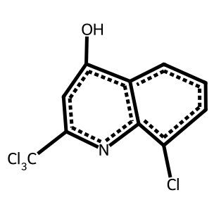 Oc1cc(C(Cl)(Cl)Cl)nc2c(Cl)cccc12